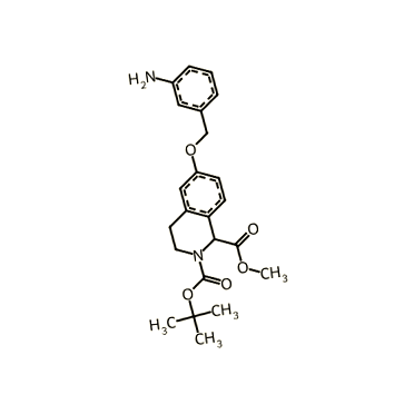 COC(=O)C1c2ccc(OCc3cccc(N)c3)cc2CCN1C(=O)OC(C)(C)C